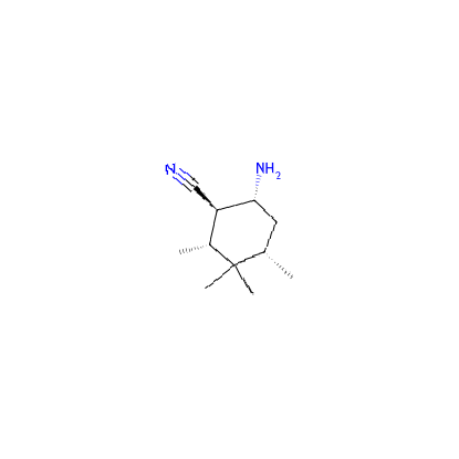 C[C@@H]1[C@@H](C#N)[C@H](N)C[C@H](C)C1(C)C